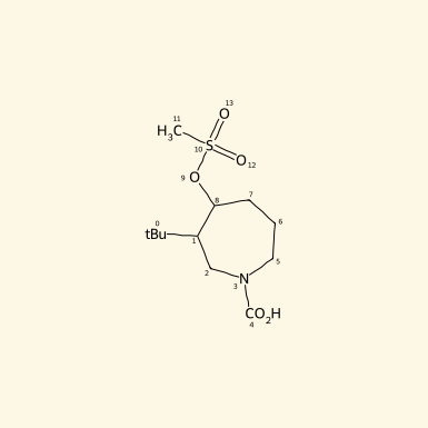 CC(C)(C)C1CN(C(=O)O)CCCC1OS(C)(=O)=O